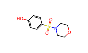 O=S(=O)(c1ccc(O)cc1)N1CCOCC1